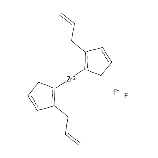 C=CCC1=[C]([Zr+2][C]2=C(CC=C)C=CC2)CC=C1.[F-].[F-]